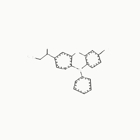 Cc1ccc2c(c1)Oc1cc(C(C)CN)ccc1N2c1ccccc1